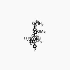 COc1cc(C(=O)NCC(O)(c2cc3c(c(-c4ccc(F)cc4)n2)OC[C@]3(C)C(N)=O)C(F)(F)F)cc2sc(COC(=O)[C@@H](N)C(C)C)nc12